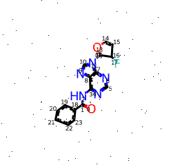 O=C(Nc1ncnc2c1ncn2[C@@H]1OC=CC1F)c1ccccc1